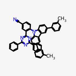 Cc1cccc(-c2ccc3c(c2)c2cc(-c4cccc(C)c4)ccc2n3-c2ccc(C#N)cc2-c2nc(-c3ccccc3)nc(-c3ccccc3)n2)c1